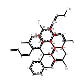 C=C/C=C\c1c(C)ccc(P(C(=C)C=C=CCF)C2=CC=C(F)CC2)c1C1c2ccccc2C=C[C@@H]1P(CC(=C)C)c1ccc(F)cc1